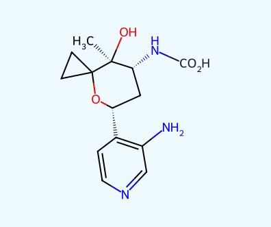 C[C@]1(O)[C@H](NC(=O)O)C[C@H](c2ccncc2N)OC12CC2